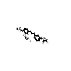 COc1ccc(CCCc2cccc(NC(=O)CCl)c2)cc1OC